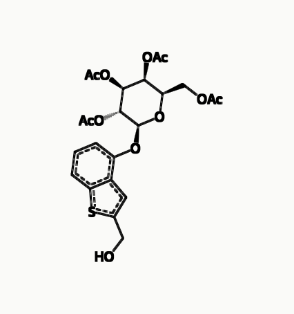 CC(=O)OC[C@H]1O[C@@H](Oc2cccc3sc(CO)cc23)[C@H](OC(C)=O)[C@@H](OC(C)=O)[C@H]1OC(C)=O